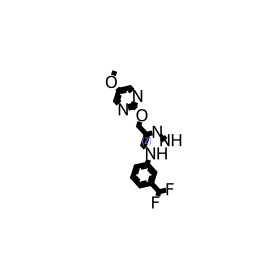 COc1cnc(OC/C(=C/Nc2cccc(C(F)F)c2)N=N)nc1